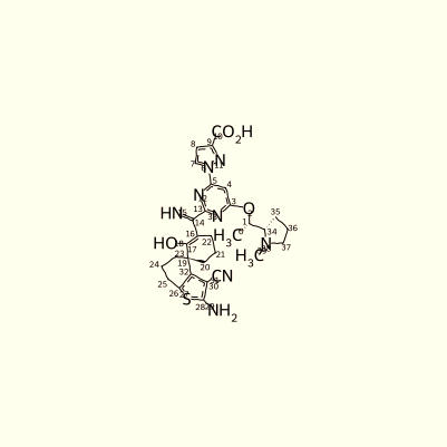 C[C@H](Oc1cc(-n2ccc(C(=O)O)n2)nc(C(=N)C2=C(O)[C@@]3(CCC2)CCCc2sc(N)c(C#N)c23)n1)[C@@H]1CCCN1C